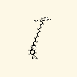 CO[Si](CCCCCCCCCCC(=O)Oc1ccc([N+](=O)[O-])cc1)(OC)OC